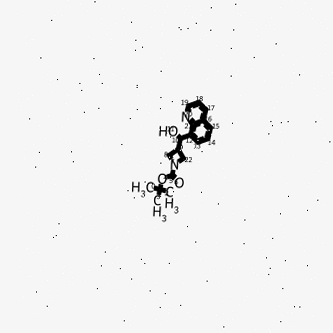 CC(C)(C)OC(=O)N1CC(C(O)c2cccc3cccnc23)C1